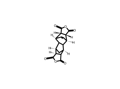 O=C1OC(=O)[C@@H]2C1[C@H]1C[C@@H]2C2C1[C@H]1C=C[C@@H]2[C@@H]2C(=O)OC(=O)[C@@H]21